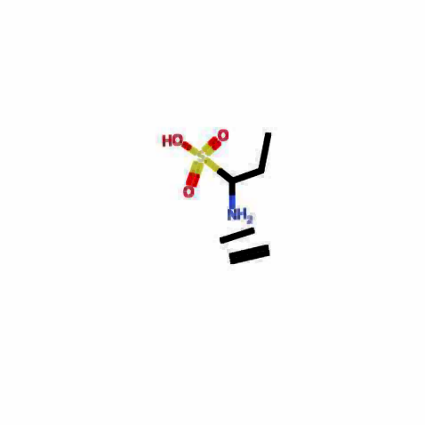 C=C.CC.CCC(N)S(=O)(=O)O